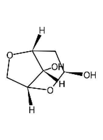 O[C@H]1[C@H]2C[C@@H](O)O[C@@H]1CO2